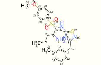 CCCC(N)C(Nc1nc(Cc2cccc(C)c2)ns1)S(=O)(=O)c1ccc(OC)cc1